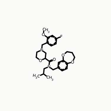 COc1cc(F)ccc1CN1CCOC(C(=O)N(Cc2ccc3c(c2)OCCCO3)CC(C)C)C1